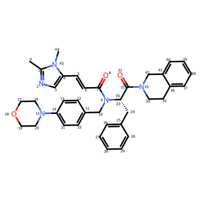 Cc1ncc(C=CC(=O)N(Cc2ccc(N3CCOCC3)cc2)[C@@H](Cc2ccccc2)C(=O)N2CCc3ccccc3C2)n1C